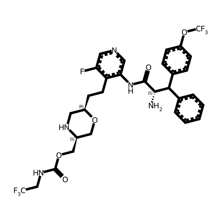 N[C@H](C(=O)Nc1cncc(F)c1CC[C@@H]1CN[C@H](COC(=O)NCC(F)(F)F)CO1)C(c1ccccc1)c1ccc(OC(F)(F)F)cc1